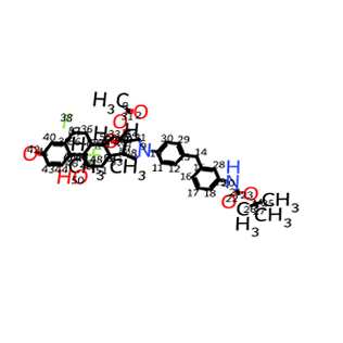 CC(=O)OCC(=O)[C@@]12CN(c3ccc(Cc4cccc(NC(=O)OC(C)(C)C)c4)cc3)C[C@@H]1C[C@H]1[C@@H]3C[C@H](F)C4=CC(=O)C=C[C@]4(C)[C@@]3(F)[C@@H](O)C[C@@]12C